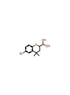 CC1(C)CC(B(O)O)Sc2ccc(Br)cc21